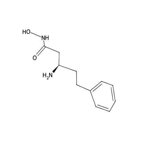 N[C@H](CCc1ccccc1)CC(=O)NO